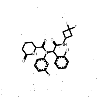 O=C1CCC[C@@H](C(=O)N(c2cccc(F)c2)C(C(=O)NC2CC(F)(F)C2)c2ccccc2Cl)N1